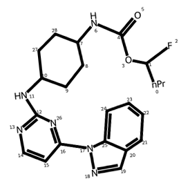 CCCC(F)OC(=O)NC1CCC(Nc2nccc(-n3ncc4ccccc43)n2)CC1